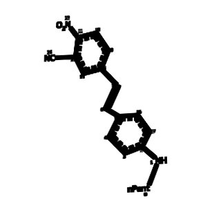 CCCCCNc1ccc(C=Cc2ccc([N+](=O)[O-])c(C#N)c2)cc1